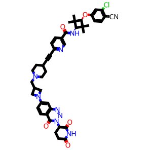 CC1(C)[C@H](NC(=O)c2ccc(C#CC3CCN(CC4CN(c5ccc6c(=O)n(C7CCC(=O)NC7=O)nnc6c5)C4)CC3)nc2)C(C)(C)[C@H]1Oc1ccc(C#N)c(Cl)c1